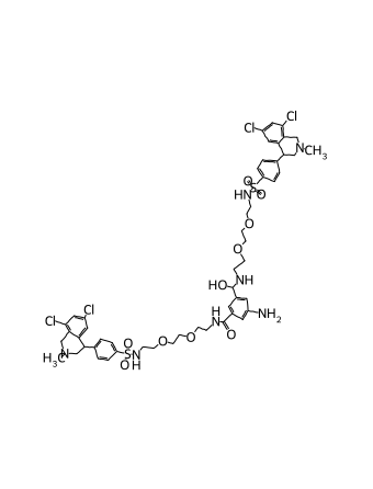 CN1Cc2c(Cl)cc(Cl)cc2C(c2ccc(S(=O)(=O)NCCOCCOCCNC(=O)c3cc(N)cc(C(O)NCCOCCOCCNS(=O)(=O)c4ccc(C5CN(C)Cc6c(Cl)cc(Cl)cc65)cc4)c3)cc2)C1